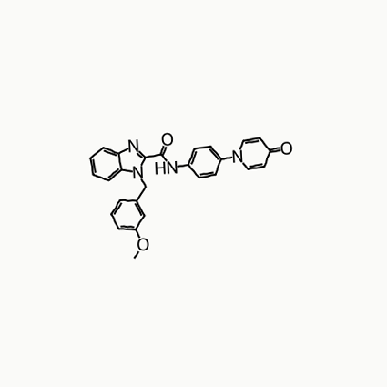 COc1cccc(Cn2c(C(=O)Nc3ccc(-n4ccc(=O)cc4)cc3)nc3ccccc32)c1